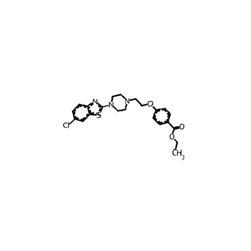 CCOC(=O)c1ccc(OCCN2CCN(c3nc4ccc(Cl)cc4s3)CC2)cc1